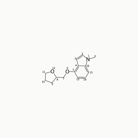 Cn1ccc2c(OCC3CCCO3)cccc21